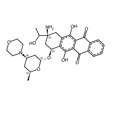 CC(O)[C@]1(N)Cc2c(O)c3c(c(O)c2[C@@H](O[C@H]2C[C@H](N4CCOCC4)C[C@H](C)O2)C1)C(=O)c1ccccc1C3=O